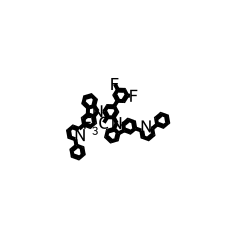 Fc1cc(F)cc(-c2cc(-n3c4ccccc4c4cc(-c5cccc(-c6ccccc6)n5)ccc43)c(C(F)(F)F)c(-n3c4ccccc4c4cc(-c5cccc(-c6ccccc6)n5)ccc43)c2)c1